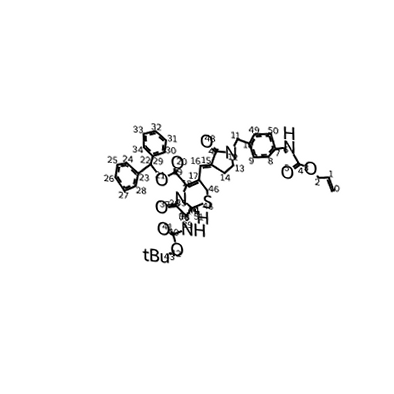 C=CCOC(=O)Nc1ccc(CN2CCC(=CC3=C(C(=O)OC(c4ccccc4)c4ccccc4)N4C(=O)[C@@H](NC(=O)OC(C)(C)C)[C@H]4SC3)C2=O)cc1